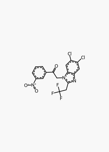 O=C(Cn1c(CC(F)(F)F)nc2cc(Cl)c(Cl)cc21)c1cccc([N+](=O)[O-])c1